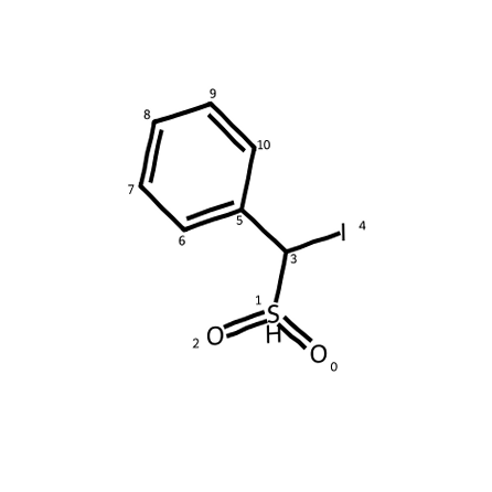 O=[SH](=O)C(I)c1ccccc1